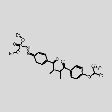 CCOP(=O)(NN=C1C=CC(C(=O)N(C)C(C)C(=O)c2ccc(OC(CC)C(=O)O)cc2)=CC1)OCC